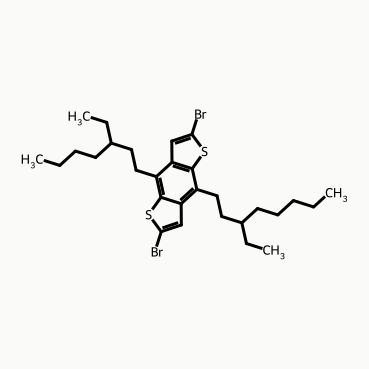 CCCCCC(CC)CCc1c2cc(Br)sc2c(CCC(CC)CCCC)c2cc(Br)sc12